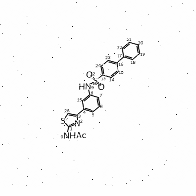 CC(=O)Nc1nc(-c2cccc(NS(=O)(=O)c3ccc(-c4ccccc4)cc3)c2)cs1